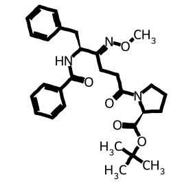 CON=C(CCC(=O)N1CCC[C@H]1C(=O)OC(C)(C)C)[C@H](Cc1ccccc1)NC(=O)c1ccccc1